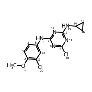 COc1ccc(Nc2nc(Cl)nc(NC3CC3)n2)cc1Cl